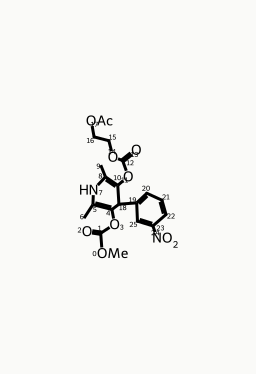 COC(=O)OC1=C(C)NC(C)=C(OC(=O)OCCOC(C)=O)C1c1cccc([N+](=O)[O-])c1